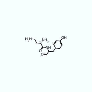 NCC[C@H](N)C(=O)NC(C=O)CC1C=CC(O)=CC1